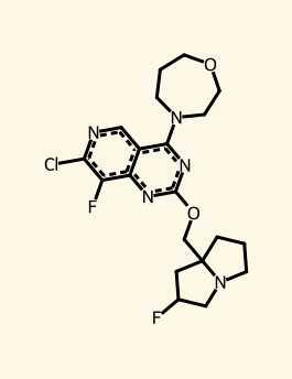 Fc1c(Cl)ncc2c(N3CCCOCC3)nc(OCC34CCCN3CC(F)C4)nc12